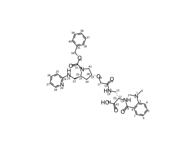 CN(C)c1ccccc1C(=O)N[C@@H](CNC(=O)CO[C@@H]1C[C@@H](CNc2ccccn2)N(C(=O)OCc2ccccc2)C1)C(=O)O